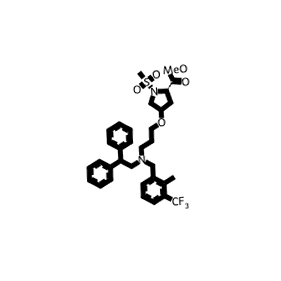 COC(=O)[C@@H]1CC(OCCCN(Cc2cccc(C(F)(F)F)c2C)CC(c2ccccc2)c2ccccc2)CN1S(C)(=O)=O